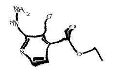 CCOC(=O)c1ccnc(NN)c1Cl